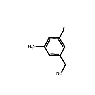 N#CCc1cc(N)cc(F)c1